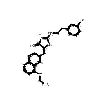 CCOc1ccnc2ccc(/C=C3/SC(NCCc4cccc(F)c4)=NC3=O)cc12